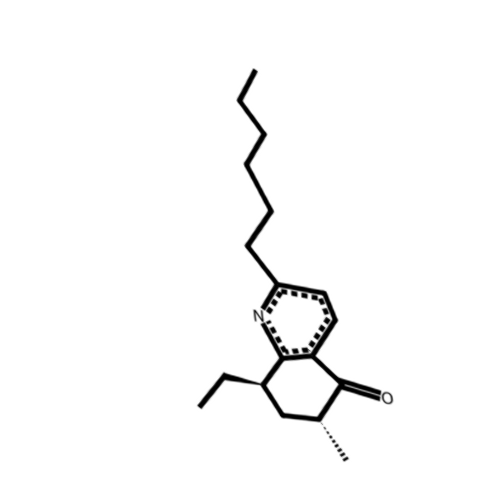 CCCCCCc1ccc2c(n1)[C@H](CC)C[C@@H](C)C2=O